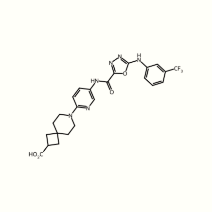 O=C(Nc1ccc(N2CCC3(CC2)CC(C(=O)O)C3)nc1)c1nnc(Nc2cccc(C(F)(F)F)c2)o1